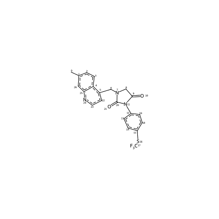 Cc1ccc2c(CN3CC(=O)N(c4ccc(SC(F)(F)F)cc4)C3=O)ccnc2c1